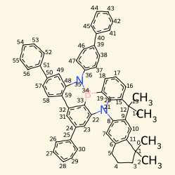 CC1(C)CCCc2cc3c(cc21)C(C)(C)c1cccc2c1N3c1cc(-c3ccccc3)cc3c1B2N(c1ccc(-c2ccccc2)cc1)c1cc(-c2ccccc2)ccc1-3